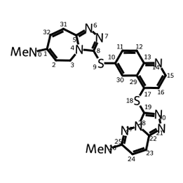 CNC1=CCn2c(nnc2Sc2ccc3nccc(Sc4nnc5ccc(NC)nn45)c3c2)C=C1